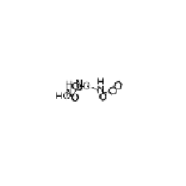 O=C(NCCCOc1cc(C(=O)NO)on1)c1ccc2ccccc2c1